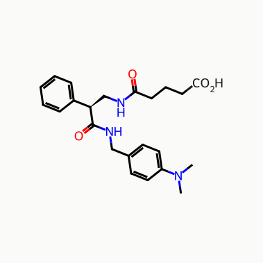 CN(C)c1ccc(CNC(=O)[C@H](CNC(=O)CCCC(=O)O)c2ccccc2)cc1